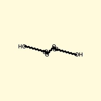 O=C(CCCCC(=O)OOCCCCCCCCCCCCCO)OOCCCCCCCCCCCCCO